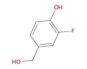 OCc1ccc(O)c(F)c1